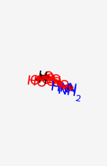 C[C@]12[C@@H](O)C[C@@]3(C)[C@@H](CC[C@]3(O)C(=O)COC(=O)CCC(=O)OCc3ccc([C@@H](CN)C(=O)Nc4ccc5cnccc5c4)cc3)[C@@H]1CCC1=CC(=O)C=C[C@@]12C